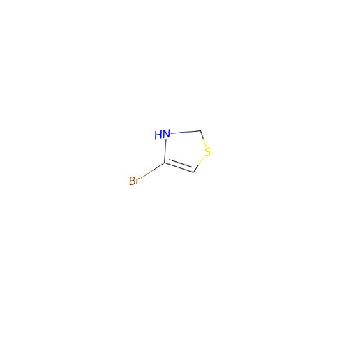 BrC1=[C]SCN1